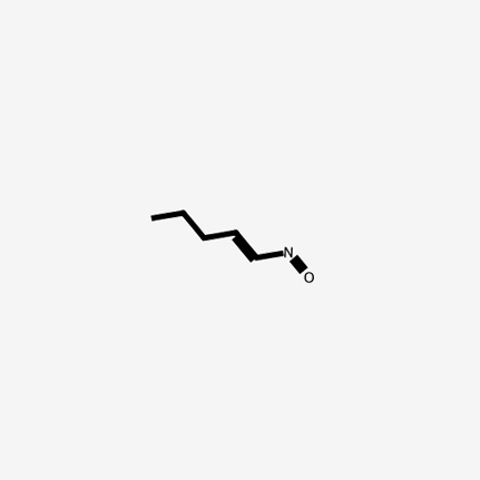 CCC/C=C/N=O